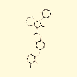 Cc1nccc(Oc2ccc(NC(=O)c3c4n(n(-c5ccccc5)c3=O)CCCC4)cc2)c1Cl